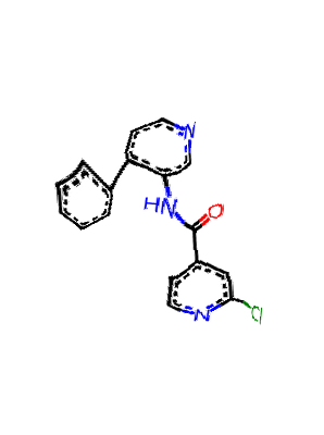 O=C(Nc1cnccc1-c1ccccc1)c1ccnc(Cl)c1